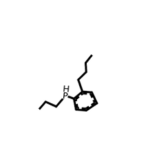 CCCCc1ccccc1PCCC